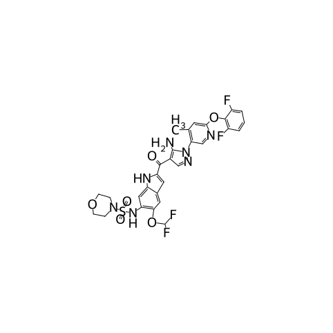 Cc1cc(Oc2c(F)cccc2F)ncc1-n1ncc(C(=O)c2cc3cc(OC(F)F)c(NS(=O)(=O)N4CCOCC4)cc3[nH]2)c1N